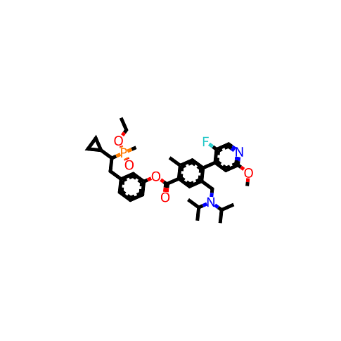 CCOP(C)(=O)C(Cc1cccc(OC(=O)c2cc(CN(C(C)C)C(C)C)c(-c3cc(OC)ncc3F)cc2C)c1)C1CC1